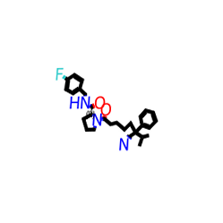 CC(C)C(C#N)(CCCCC(=O)N1CCC[C@@H]1C(=O)NCc1ccc(F)cc1)c1ccccc1